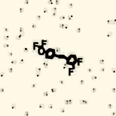 FCc1cc(C#Cc2ccc(OC(F)F)cc2)ccc1F